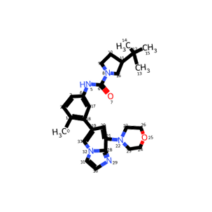 Cc1ccc(NC(=O)N2CCC(C(C)(C)C)C2)cc1-c1cc(N2CCOCC2)c2nccn2c1